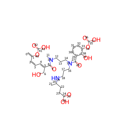 C=C(/C=C\C=C(/CO)C(=O)N(C)CCCN(CCCNC(C)CCC(=O)O)C(=O)c1cccc(OC(=O)O)c1O)OC(=O)O